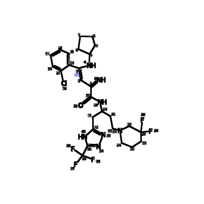 N=C(/C=C(\NC1CCCC1)c1ccccc1Cl)C(=O)NC(CCN1CCCC(F)(F)C1)Cc1nnc(C(F)(F)F)[nH]1